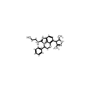 CC1=NOC(C)C1c1ccc2nc(NCCO)n3c2c1OCC3c1ccccc1